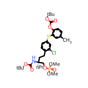 CCC[C@](CCc1ccc(Sc2cc(C)ccc2OC(=O)OC(C)(C)C)cc1Cl)(COP(=O)(OC)OC)NC(=O)OC(C)(C)C